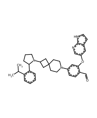 CC(C)c1ccccc1C1CCCN1C1CC2(CCN(c3ccc(C=O)c(Oc4cnc5[nH]ccc5c4)c3)CC2)C1